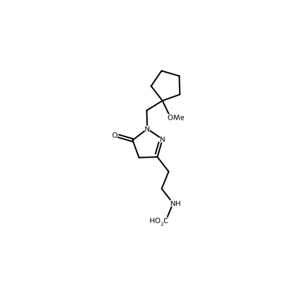 COC1(CN2N=C(CCNC(=O)O)CC2=O)CCCC1